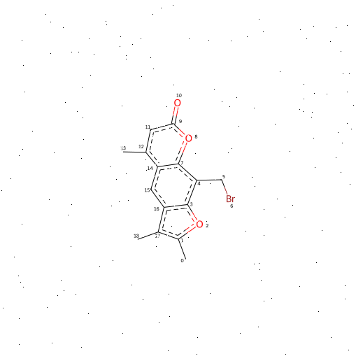 Cc1oc2c(CBr)c3oc(=O)cc(C)c3cc2c1C